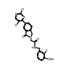 COc1cccc(CNC(=O)CN2Cc3ccc(-c4nc(Cl)ncc4Cl)cc3C2=O)c1F